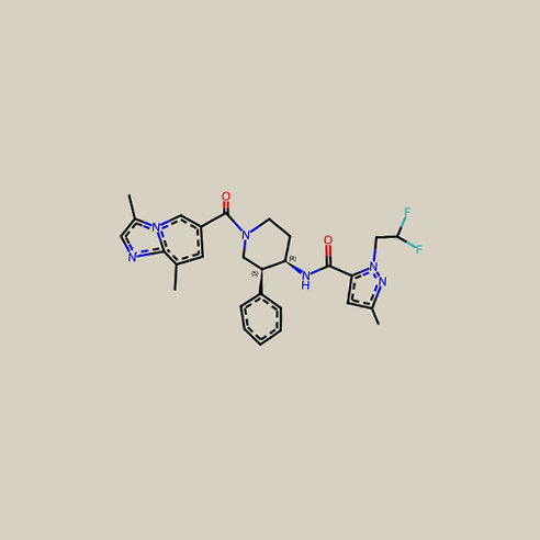 Cc1cc(C(=O)N[C@@H]2CCN(C(=O)c3cc(C)c4ncc(C)n4c3)C[C@@H]2c2ccccc2)n(CC(F)F)n1